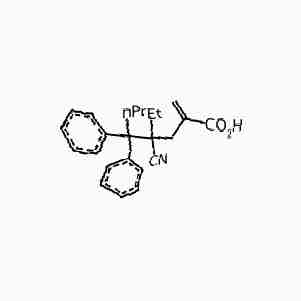 C=C(CC(C#N)(CC)C(CCC)(c1ccccc1)c1ccccc1)C(=O)O